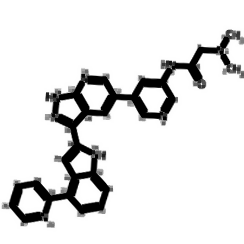 CN(C)CC(=O)Nc1cncc(-c2cnc3[nH]nc(-c4cc5c(-c6ccccn6)cccc5[nH]4)c3c2)c1